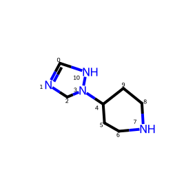 C1=NCN(C2CCNCC2)N1